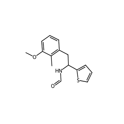 COc1cccc(CC(NC=O)c2cccs2)c1C